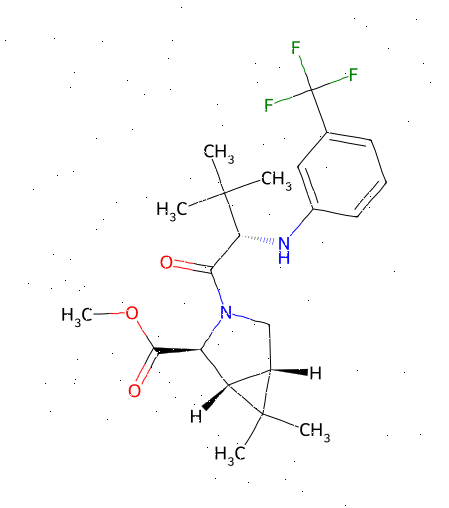 COC(=O)[C@@H]1[C@@H]2[C@H](CN1C(=O)[C@@H](Nc1cccc(C(F)(F)F)c1)C(C)(C)C)C2(C)C